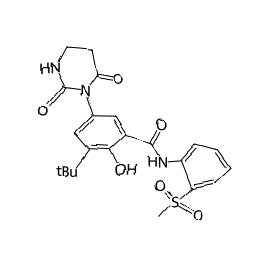 CC(C)(C)c1cc(N2C(=O)CCNC2=O)cc(C(=O)Nc2ccccc2S(C)(=O)=O)c1O